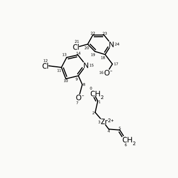 C=C[CH2][Zr+2][CH2]C=C.[O-]Cc1cc(Cl)ccn1.[O-]Cc1cc(Cl)ccn1